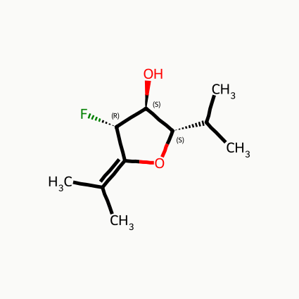 CC(C)=C1O[C@@H](C(C)C)[C@H](O)[C@H]1F